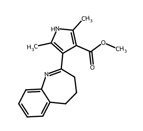 COC(=O)c1c(C)[nH]c(C)c1C1=Nc2ccccc2CCC1